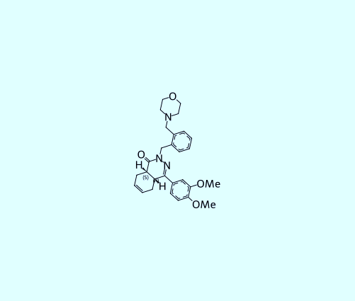 COc1ccc(C2=NN(Cc3ccccc3CN3CCOCC3)C(=O)[C@H]3CC=CC[C@@H]23)cc1OC